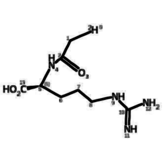 [2H]CC(=O)N[C@@H](CCCNC(=N)N)C(=O)O